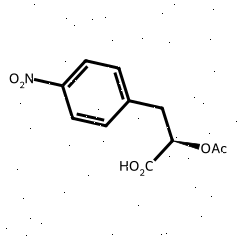 CC(=O)O[C@H](Cc1ccc([N+](=O)[O-])cc1)C(=O)O